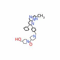 Cc1cc2ncc3cc(-c4ccccc4)c(-c4ccc(CN5CCC(C(=O)N6CCC(CO)CC6)CC5)cc4)nc3n2n1